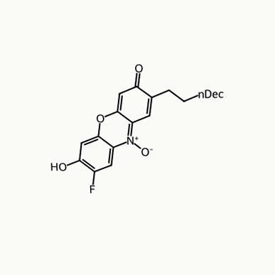 CCCCCCCCCCCCc1cc2[n+]([O-])c3cc(F)c(O)cc3oc-2cc1=O